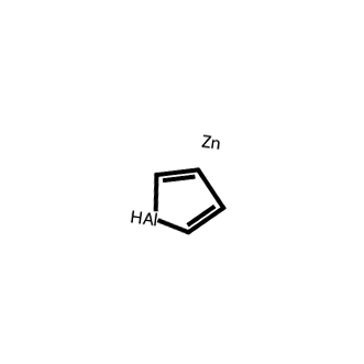 C1=[CH][AlH][CH]=C1.[Zn]